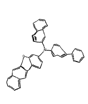 c1ccc(-c2ccc(N(c3ccc4ccccc4c3)c3ccc4c(c3)oc3cc5ccccc5cc34)cc2)cc1